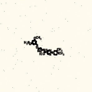 COc1cc(COc2cc(NC(=O)c3cnc(N4CCN(C)C(C)C4)nc3)[nH]n2)cc(OC)c1